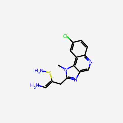 Cn1c(C/C(=C/N)SN)nc2cnc3ccc(Cl)cc3c21